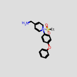 CCS(=O)(=O)[N+]1(c2ccc(Oc3ccccc3)cc2)C=CC(CN)=CC1